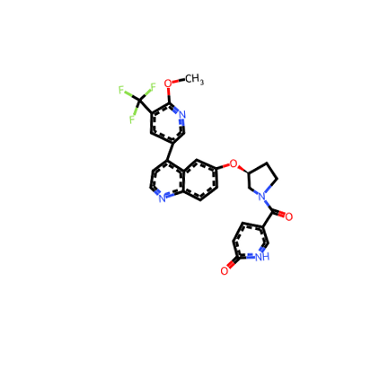 COc1ncc(-c2ccnc3ccc(O[C@H]4CCN(C(=O)c5ccc(=O)[nH]c5)C4)cc23)cc1C(F)(F)F